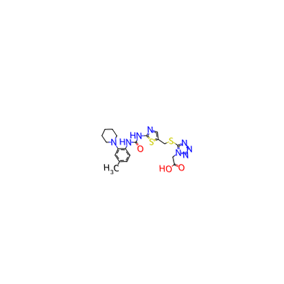 Cc1ccc(NC(=O)Nc2ncc(CSc3nnnn3CC(=O)O)s2)c(N2CCCCC2)c1